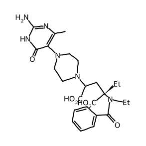 CCN(C(=O)c1ccccc1)[C@@](CC)(CC(C(=O)O)N1CCN(c2c(C)nc(N)[nH]c2=O)CC1)C(=O)O